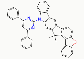 CC1(C)c2cc3c(cc2-c2ccc4oc5ccccc5c4c21)c1ccccc1n3-c1nc(-c2ccccc2)cc(-c2ccccc2)n1